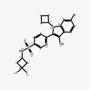 Cc1ccc2c(C#N)c(-c3ccc(S(=O)(=O)NC4CC(F)(F)C4)cn3)n(C3CCC3)c2c1